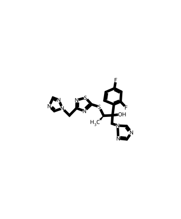 C[C@@H](Sc1nc(Cn2cncn2)ns1)C(O)(Cn1cncn1)c1ccc(F)cc1F